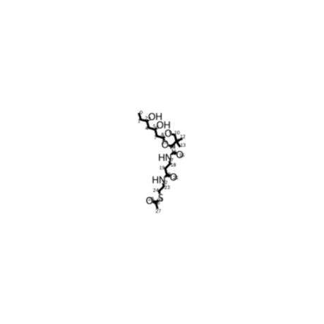 CCC(O)CC(O)CC1OCC(C)(C)[C@H](C(=O)NCCC(=O)NCCSC(C)=O)O1